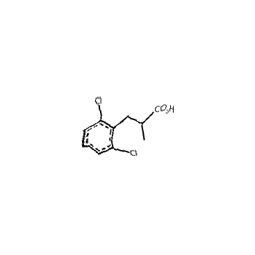 CC(Cc1c(Cl)cccc1Cl)C(=O)O